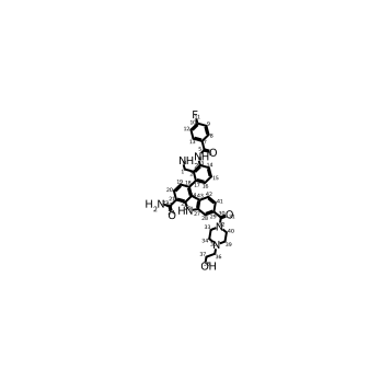 NCc1c(NC(=O)c2ccc(F)cc2)cccc1-c1ccc(C(N)=O)c2[nH]c3cc(C(=O)N4CCN(CCO)CC4)ccc3c12